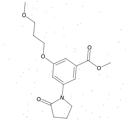 COCCCOc1cc(C(=O)OC)cc(N2CCCC2=O)c1